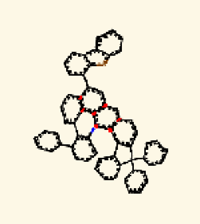 c1ccc(-c2ccccc2-c2c(-c3ccccc3)cccc2N(c2ccc(-c3cccc4c3sc3ccccc34)cc2)c2cccc3c2-c2ccccc2C3(c2ccccc2)c2ccccc2)cc1